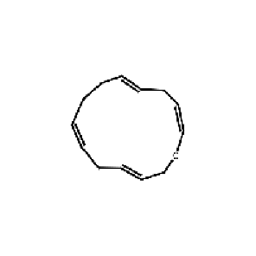 [CH]1/C=C\CC/C=C/C/C=C\CC/C=C/1